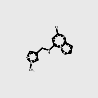 Cn1cc(CNc2cc(Cl)nc3ccnn23)cn1